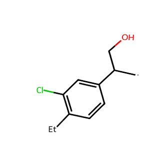 [CH2]C(CO)c1ccc(CC)c(Cl)c1